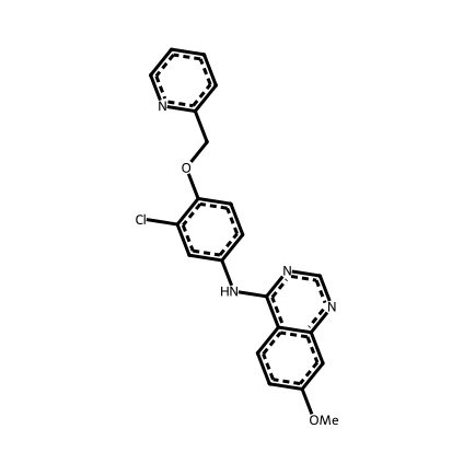 COc1ccc2c(Nc3ccc(OCc4ccccn4)c(Cl)c3)ncnc2c1